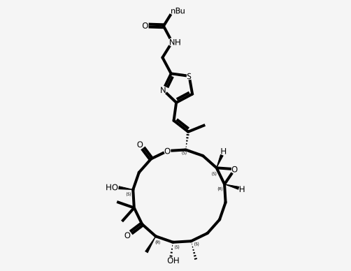 CCCCC(=O)NCc1nc(C=C(C)[C@@H]2C[C@@H]3O[C@@H]3CCC[C@H](C)[C@H](O)[C@@H](C)C(=O)C(C)(C)[C@@H](O)CC(=O)O2)cs1